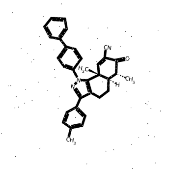 Cc1ccc(-c2nn(-c3ccc(-c4ccccc4)cc3)c3c2CC[C@@H]2[C@@H](C)C(=O)C(C#N)=C[C@@]32C)cc1